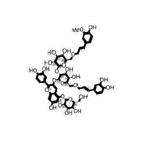 COc1cc(/C=C/COC[C@H]2O[C@@H](O[C@H]3[C@H](Oc4cc5c(O[C@@H]6O[C@H](CO)[C@@H](O)[C@H](O)[C@H]6O)cc(O)cc5[o+]c4-c4ccc(O)c(O)c4)O[C@H](COC/C=C/c4ccc(O)c(O)c4)[C@@H](O)[C@@H]3O)[C@H](O)[C@@H](O)[C@@H]2O)ccc1O